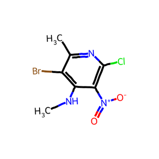 CNc1c(Br)c(C)nc(Cl)c1[N+](=O)[O-]